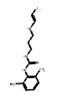 CC=CNCCCNC(=O)Nc1c(C)cccc1C